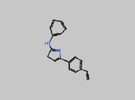 C=Cc1ccc(C2=CCC(Nc3ccccc3)=N2)cc1